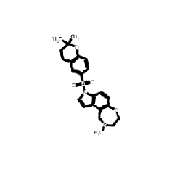 CN1CCOc2ccc3c(ccn3S(=O)(=O)c3ccc4c(c3)CCC(C)(C)O4)c2C1